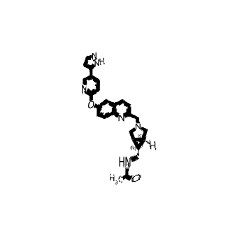 CC(=O)NC[C@@H]1C2CN(Cc3ccc4cc(Oc5ccc(-c6ccn[nH]6)cn5)ccc4n3)C[C@H]21